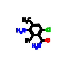 Cc1cc(Cl)c(C(N)=O)c(C(C)C)c1N